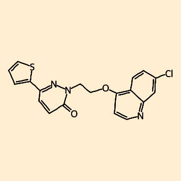 O=c1ccc(-c2cccs2)nn1CCOc1ccnc2cc(Cl)ccc12